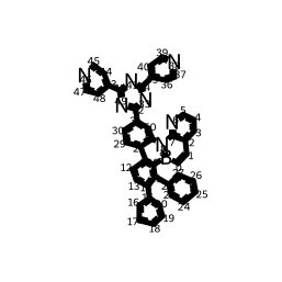 C1=Cc2cccnc2N2B1c1c(ccc(-c3ccccc3)c1-c1ccccc1)-c1ccc(-c3nc(-c4ccncc4)nc(-c4ccncc4)n3)cc12